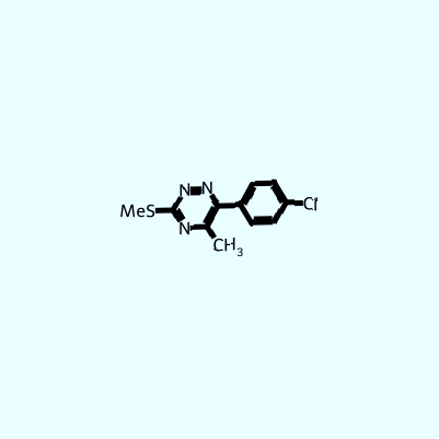 CSc1nnc(-c2ccc(Cl)cc2)c(C)n1